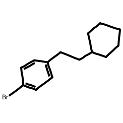 Brc1ccc(CCC2CCCCC2)cc1